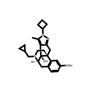 COc1ccc2c(c1)[C@]13CCN(CC4CC4)[C@H](C2)[C@]1(O)Cc1c(nn(C2CCC2)c1C)C3